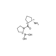 N[C@H]1CCC[C@@H]1C(=O)N1CCC[C@H]1B(O)O